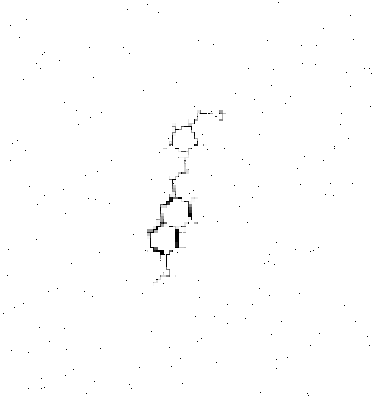 COc1ccc2cc(CCN3CCC(CO)C3)ccc2c1